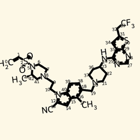 C=CS(=O)(=O)N1CCN(CCn2c(C#N)cc3c(C)c(CN4CCC(Nc5ncnc6sc(CC(F)(F)F)cc56)CC4)ccc32)C[C@H]1C